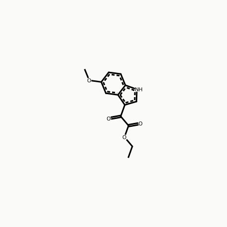 CCOC(=O)C(=O)c1c[nH]c2ccc(OC)cc12